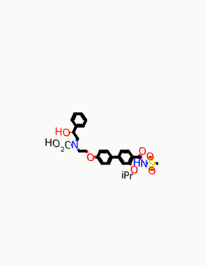 CC(C)Oc1cc(-c2ccc(OCCN(C[C@H](O)c3ccccc3)C(=O)O)cc2)ccc1C(=O)NS(C)(=O)=O